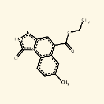 CCOC(=O)c1cc2n[nH]c(=O)n2c2ccc(C)cc12